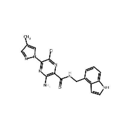 Cc1cnn(-c2nc(N)c(C(=O)NCc3cccc4[nH]ccc34)nc2Cl)c1